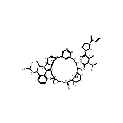 C=CC(=O)N1CC[C@H](C(=O)N(C)[C@H](C(=O)N[C@H]2Cc3cccc(c3)-c3ccc4c(c3)c(c(-c3cccnc3[C@H](C)OC(F)F)n4CC)CC(C)(C)COC(=O)[C@@H]3CCCN(N3)C2=O)C(C)C)C1